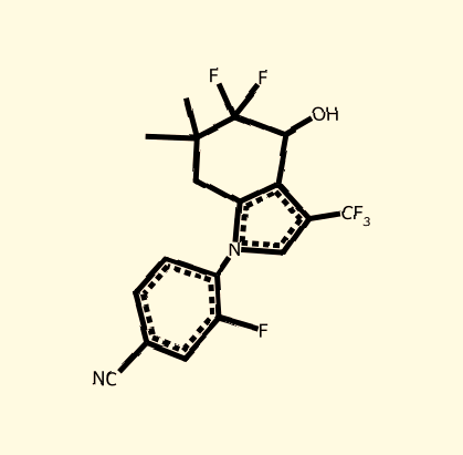 CC1(C)Cc2c(c(C(F)(F)F)cn2-c2ccc(C#N)cc2F)C(O)C1(F)F